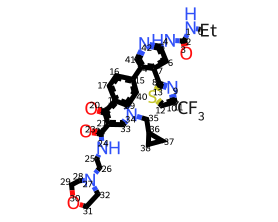 CCNC(=O)Nc1cc(-c2nc(C(F)(F)F)cs2)c(-c2ccc3c(=O)c(C(=O)NCCN4CCOCC4)cn(CC4CC4)c3c2)cn1